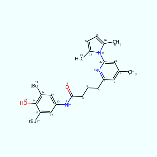 Cc1cc(CCCC(=O)Nc2cc(C(C)(C)C)c(O)c(C(C)(C)C)c2)nc(-n2c(C)ccc2C)c1